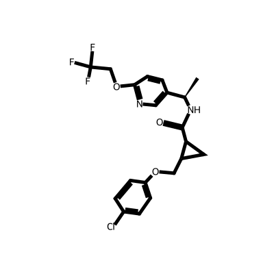 C[C@@H](NC(=O)C1CC1COc1ccc(Cl)cc1)c1ccc(OCC(F)(F)F)nc1